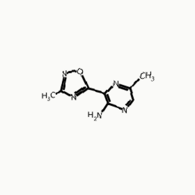 Cc1cnc(N)c(-c2nc(C)no2)n1